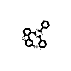 Nc1ccc2oc3cccc(-c4nc(-c5ccccc5)nc(-c5ccccc5)n4)c3c2c1